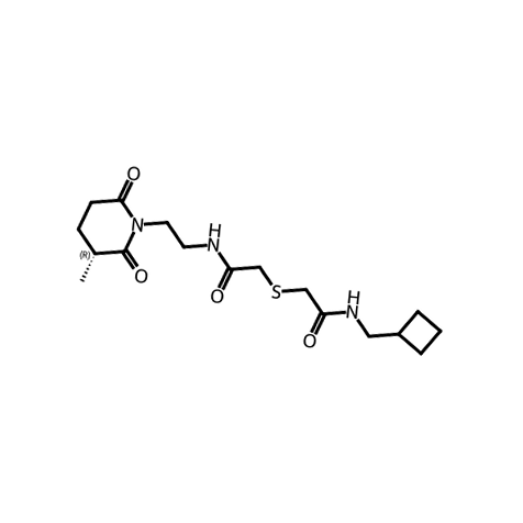 C[C@@H]1CCC(=O)N(CCNC(=O)CSCC(=O)NCC2CCC2)C1=O